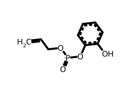 C=CCO[P](=O)Oc1ccccc1O